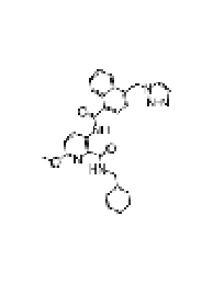 COc1ccc(NC(=O)c2ccc(Cn3ccnn3)c3ccccc23)c(C(=O)NCC2CCCCC2)n1